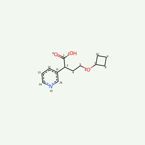 O=C(O)C(CCOC1CCC1)c1cccnc1